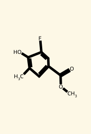 COC(=O)c1cc(C)c(O)c(F)c1